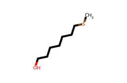 CSCCCCCCCO